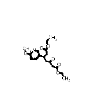 CCOC(=O)CC(=O)CC(CC(=O)OCC)c1ccc(OC)nc1